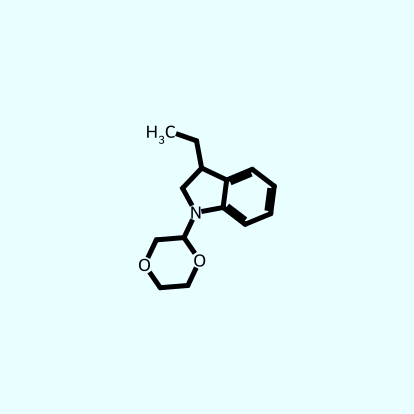 CCC1CN(C2COCCO2)c2ccccc21